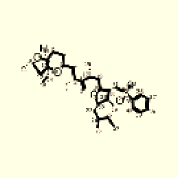 C=C([C@H](C)CC1CC[C@@H]2O[C@@H](C)C[C@]2(CC)O1)[C@H](C)CC1O[C@H](CC(C)CC)[C@H](C)[C@H]1CS(=O)(=O)c1ccccc1